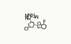 N#Cc1[nH]nnc1-c1cc(Cl)cc(-c2cc3cccc(F)c3o2)c1